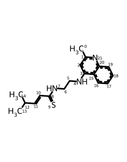 Cc1cc(NCCNC(=S)C=CC(C)C)c2ccccc2n1